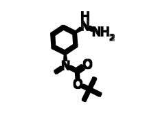 CN(C(=O)OC(C)(C)C)[C@H]1CCC[C@@H](NN)C1